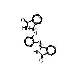 O=C1N/C(=N\c2ccccc2/N=C2\NC(=O)c3ccccc32)c2ccccc21